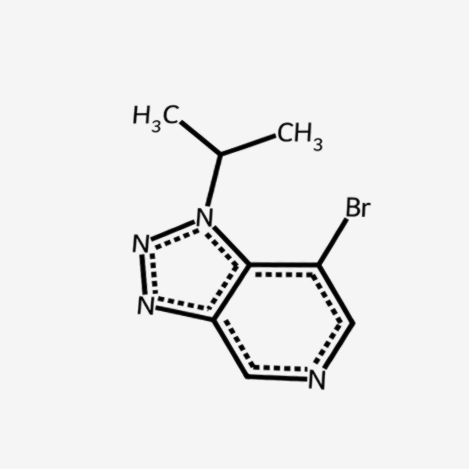 CC(C)n1nnc2cncc(Br)c21